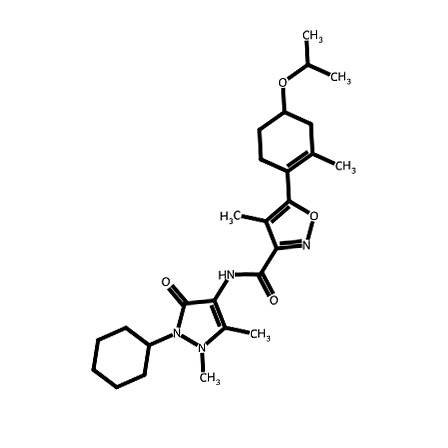 CC1=C(c2onc(C(=O)Nc3c(C)n(C)n(C4CCCCC4)c3=O)c2C)CCC(OC(C)C)C1